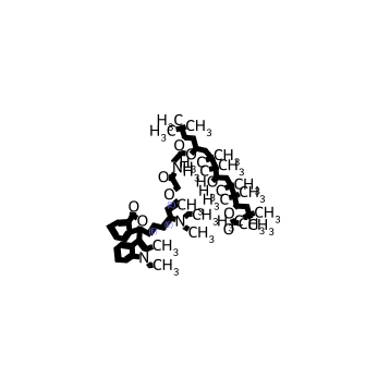 CCN(CC)C(/C=C(\C)OCC(=O)NCC1OC(CC(C)(C)C(C)(C)C(O)CC(C)(C)C(C)(C)C(CC(C)(C)C)OC(C)=O)CC(C(C)(C)C)O1)=C/C=C/C1(c2c(C)n(CC)c3ccccc23)OC(=O)c2ccccc21